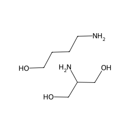 NC(CO)CO.NCCCCO